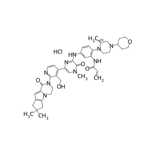 C=CC(=O)Nc1cc(Nc2nc(-c3ccnc(N4CCn5c(cc6c5CC(C)(C)C6)C4=O)c3CO)cn(C)c2=O)ccc1N1CCN(C2CCOCC2)C[C@@H]1C.Cl